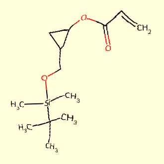 C=CC(=O)OC1CC1CO[Si](C)(C)C(C)(C)C